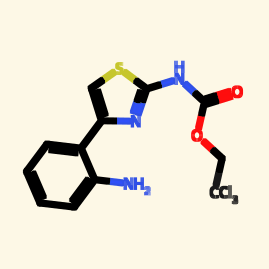 Nc1ccccc1-c1csc(NC(=O)OCC(Cl)(Cl)Cl)n1